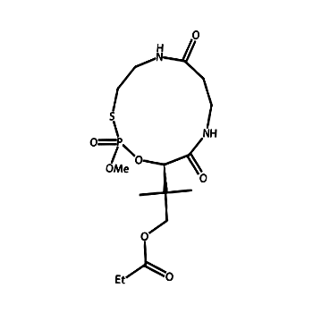 CCC(=O)OCC(C)(C)[C@H]1OP(=O)(OC)SCCNC(=O)CCNC1=O